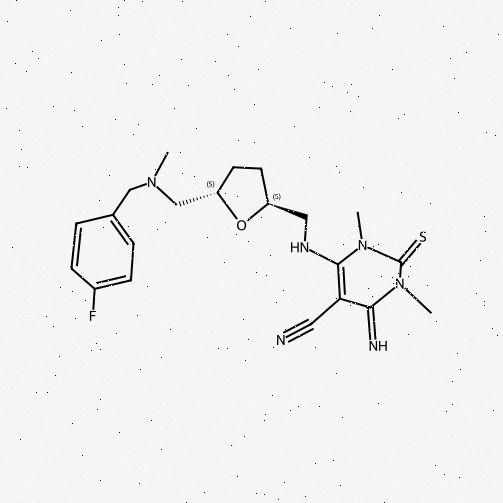 CN(Cc1ccc(F)cc1)C[C@@H]1CC[C@@H](CNc2c(C#N)c(=N)n(C)c(=S)n2C)O1